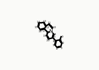 Cc1ccccc1C1=CN2C=Cc3ccccc3C2C=C1